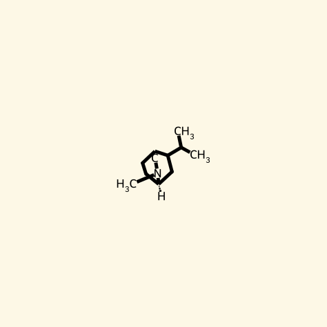 CC(C)C1C[C@H]2CCC1CN2C